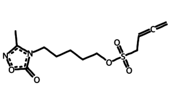 C=C=CCS(=O)(=O)OCCCCCn1c(C)noc1=O